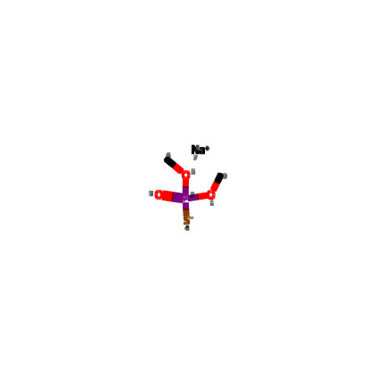 COP(=O)([S-])OC.[Na+]